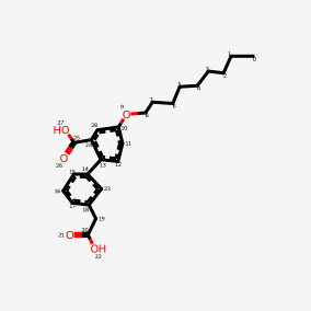 CCCCCCCCCOc1ccc(-c2cccc(CC(=O)O)c2)c(C(=O)O)c1